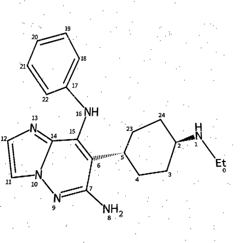 CCN[C@H]1CC[C@H](c2c(N)nn3ccnc3c2Nc2ccccc2)CC1